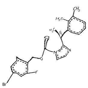 Cc1cccc([C@H](C)c2nccn2C(=O)OCc2ccc(Br)cc2F)c1C